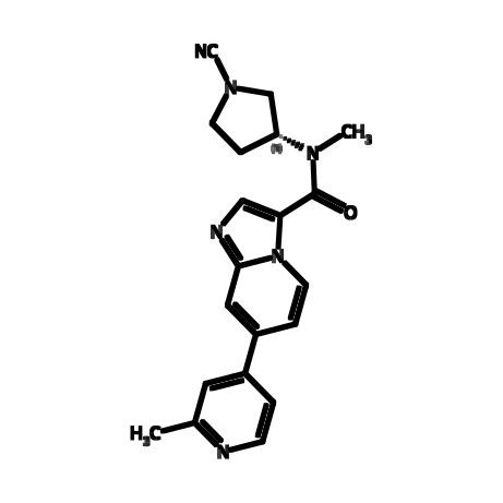 Cc1cc(-c2ccn3c(C(=O)N(C)[C@@H]4CCN(C#N)C4)cnc3c2)ccn1